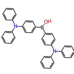 OB(c1ccc(N(c2ccccc2)c2ccccc2)cc1)c1ccc(N(c2ccccc2)c2ccccc2)cc1